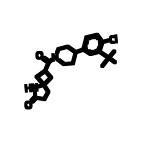 CC(C)(C)c1cc(C2CCN(C(=O)C3CC4(CCC(=O)N4)C3)CC2)ccc1Cl